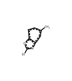 CCc1nc2cc(C)ccc2o1